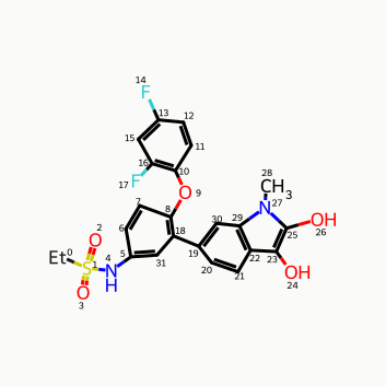 CCS(=O)(=O)Nc1ccc(Oc2ccc(F)cc2F)c(-c2ccc3c(O)c(O)n(C)c3c2)c1